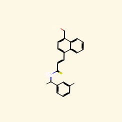 OCc1ccc(/C=C/C(=S)NC(c2cccc(C(F)(F)F)c2)C(F)(F)F)c2ccccc12